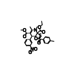 CCOC(=O)C1(SS(=O)(=O)c2ccc(C)cc2)CC(c2cccc([N+](=O)[O-])c2)C(C(=O)OC)=C(C)N1C